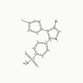 Cc1ccc(-c2c(Br)cnn2-c2ccc(S(N)(=O)=O)cc2)cc1